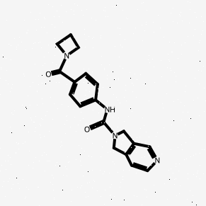 O=C(Nc1ccc(C(=O)N2CCC2)cc1)N1Cc2ccncc2C1